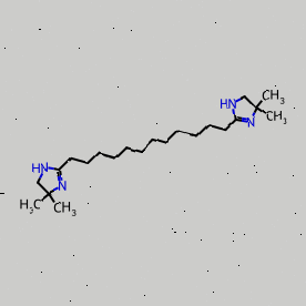 CC1(C)CNC(CCCCCCCCCCCCC2=NC(C)(C)CN2)=N1